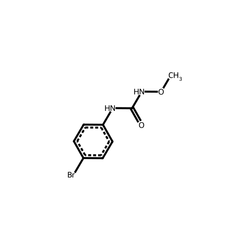 CONC(=O)Nc1ccc(Br)cc1